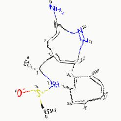 CC[C@@H](N[S@+]([O-])C(C)(C)C)c1cc(N)nnc1-c1ccccc1